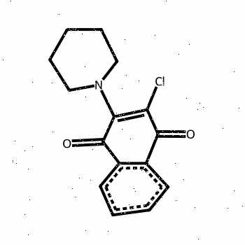 O=C1C(Cl)=C(N2CCCCC2)C(=O)c2ccccc21